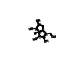 OC[C@@H]1[C@@H](O)[C@@H](O)[C@H]2[C@@H](O)[C@@H](O)CN21